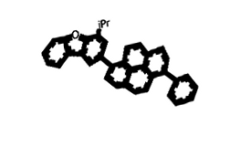 CC(C)c1cc(-c2ccc3ccc4c(-c5ccccc5)ccc5ccc2c3c54)cc2c1oc1ccccc12